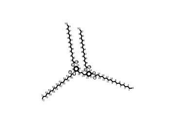 CCCCCCCCCCCCCCCCCC(=O)Oc1ccc(CCCc2ccc(OC(=O)CCCCCCCCCCCCCCCCC)cc2OC(=O)CCCCCCCCCCCCCCCCC)c(OC(=O)CCCCCCCCCCCCCCCCC)c1